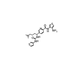 CN(C)CCCC(NC(=O)Nc1ccsc1)c1ccc(C(=O)Nc2cscc2N)nc1